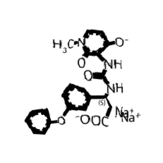 Cn1ccc([O-])c(NC(=O)N[C@@H](CC(=O)[O-])c2cccc(Oc3ccccc3)c2)c1=O.[Na+].[Na+]